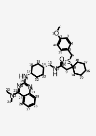 COc1ccc(CSC2(CC(=O)NC[C@H]3CC[C@@H](Nc4nc(N(C)C)c5ccccc5n4)CC3)CCCCC2)cc1